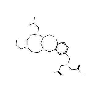 C[C@H](O)CN1CCN2Cc3cc(CN(CC(=O)O)CC(=O)O)ccc3OCC(C2)N(C[C@H](C)O)CC1